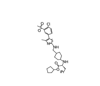 Cc1nc(NCC2CCC(N[C@@H](CC(C)C)C(=O)OC3CCCC3)CC2)sc1-c1ccc(Cl)c(S(C)(=O)=O)c1